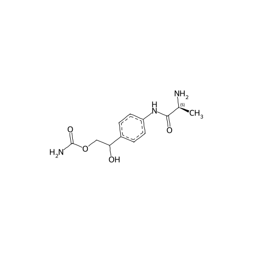 C[C@H](N)C(=O)Nc1ccc(C(O)COC(N)=O)cc1